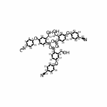 [C-]#[N+]c1ccc(Oc2ccc(B3OB(c4ccc(Oc5ccc(C#N)cc5)cc4CO)OB(c4ccc(Oc5ccc(C#N)cc5)cc4CO)O3)c(CO)c2)cc1